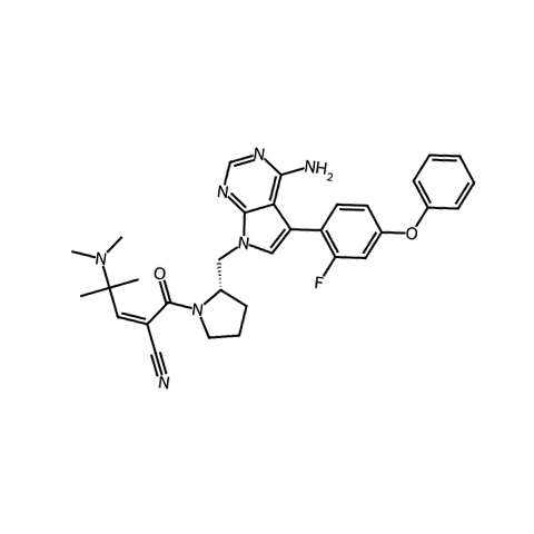 CN(C)C(C)(C)/C=C(/C#N)C(=O)N1CCC[C@H]1Cn1cc(-c2ccc(Oc3ccccc3)cc2F)c2c(N)ncnc21